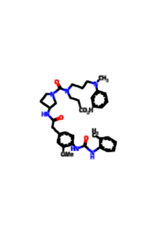 COc1cc(CC(=O)NC2CCN(C(=O)N(CCCN(C)c3ccccc3)CCC(=O)O)C2)ccc1NC(=O)Nc1ccccc1C